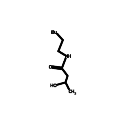 CCC(C)CCNC(=O)CC(C)O